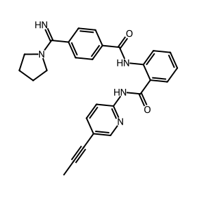 CC#Cc1ccc(NC(=O)c2ccccc2NC(=O)c2ccc(C(=N)N3CCCC3)cc2)nc1